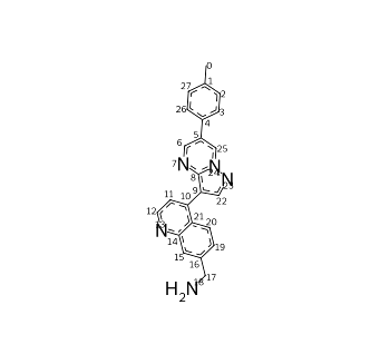 Cc1ccc(-c2cnc3c(-c4ccnc5cc(CN)ccc45)cnn3c2)cc1